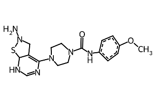 COc1ccc(NC(=O)N2CCN(C3=C4CN(N)SC4NC=N3)CC2)cc1